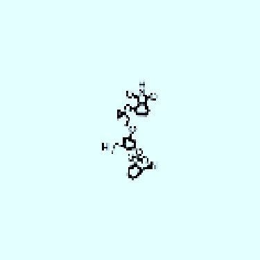 Cc1cc(OCCC2(Oc3cccc4c3C(=O)NC4=O)CC2)cc(OS(=O)(=O)c2ccccc2C#N)c1